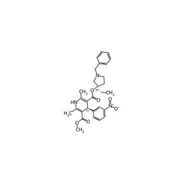 CC[C@@]1(OC(=O)C2=C(C)NC(C)=C(C(=O)OC)[C@@H]2c2cccc([N+](=O)[O-])c2)CCN(Cc2ccccc2)C1